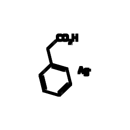 O=C(O)Cc1ccccc1.[Ag]